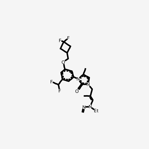 C=NN(/C=C(\C)Cn1cc(C)n(-c2cc(OCC3CC(F)(F)C3)cc(C(F)F)c2)c1=O)CC